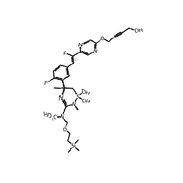 CN1C(N(COCC[Si](C)(C)C)C(=O)O)=NC(C)(c2cc(/C=C(\F)c3cnc(OCC#CCO)cn3)ccc2F)CS1(O)O